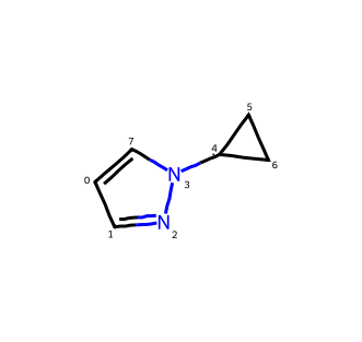 c1cnn([C]2CC2)c1